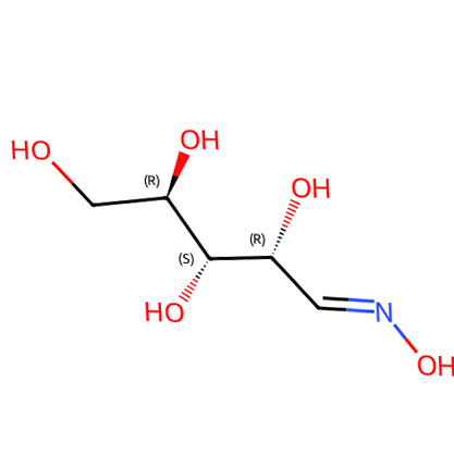 OC[C@@H](O)[C@@H](O)[C@H](O)C=NO